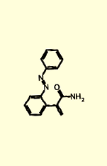 C=C(C(N)=O)c1ccccc1N=Nc1ccccc1